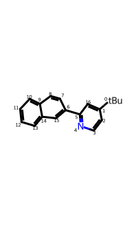 CC(C)(C)c1ccnc(-c2ccc3ccccc3c2)c1